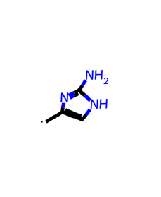 [CH2]c1c[nH]c(N)n1